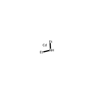 CCNCC.[Cd]